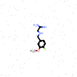 COc1cc(CNCC(=N)N)ccc1F